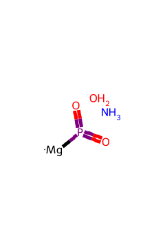 N.O.O=[P](=O)[Mg]